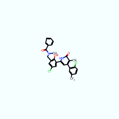 CN(Cc1cc(Cl)cc(-c2cc(-c3cc(C(F)(F)F)ccc3Cl)c(C#N)c(=O)[nH]2)c1O)C(=O)c1ccccc1